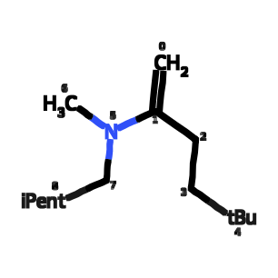 C=C(CCC(C)(C)C)N(C)CC(C)CCC